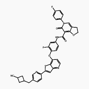 N#CC1CN(Cc2ccc(-c3cc4nccc(Oc5ccc(NC(=O)c6c7c(cn(-c8ccc(F)cc8)c6=O)CCO7)cc5F)c4s3)nc2)C1